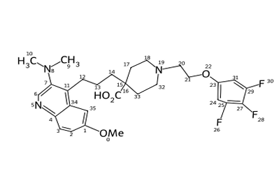 COc1ccc2ncc(N(C)C)c(CCCC3(C(=O)O)CCN(CCOc4cc(F)c(F)c(F)c4)CC3)c2c1